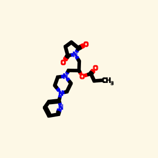 CCC(=O)OC(CN1CCN(c2ccccn2)CC1)CN1C(=O)CCC1=O